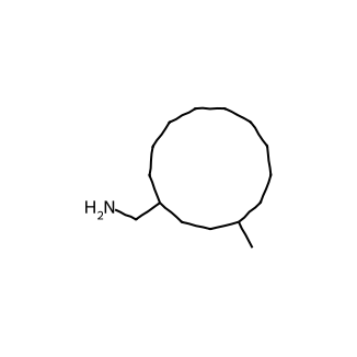 CC1CCCCCCCCCC(CN)CC1